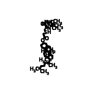 CC(C)CCC[C@@H](C)[C@H]1CC[C@H]2[C@@H]3CC=C4CC(OC(=O)CSC[C@H](NC(C)(C)C(C)(C)C)C(N)=O)CC[C@]4(C)[C@H]3CC[C@]12C